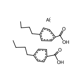 CCCCc1ccc(C(=O)O)cc1.CCCCc1ccc(C(=O)O)cc1.[Al]